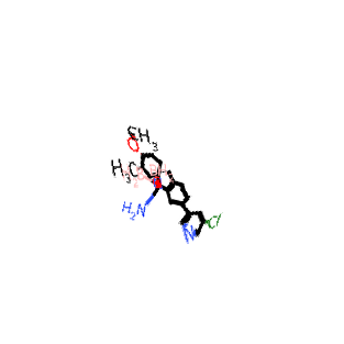 BC1(B)OC(N)=NC12c1cc(-c3cncc(Cl)c3)ccc1C[C@]21CC[C@@H](OC)[C@H](C)C1